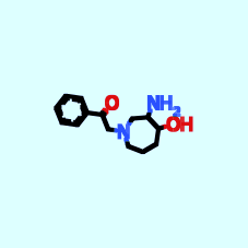 NC1CN(CC(=O)c2ccccc2)CCCC1O